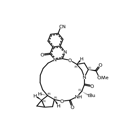 COC(=O)[C@@H]1C[C@@H]2CN1C(=O)[C@H](C(C)(C)C)NC(=O)O[C@@H]1CC3C[C@@H]3[C@H]1CCCCCn1c(nc3cc(C#N)ccc3c1=O)O2